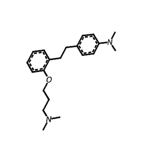 CN(C)CCCOc1ccccc1CCc1ccc(N(C)C)cc1